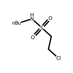 CCCCNS(=O)(=O)CCCl